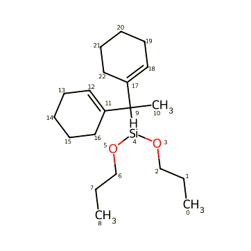 CCCO[SiH](OCCC)C(C)(C1=CCCCC1)C1=CCCCC1